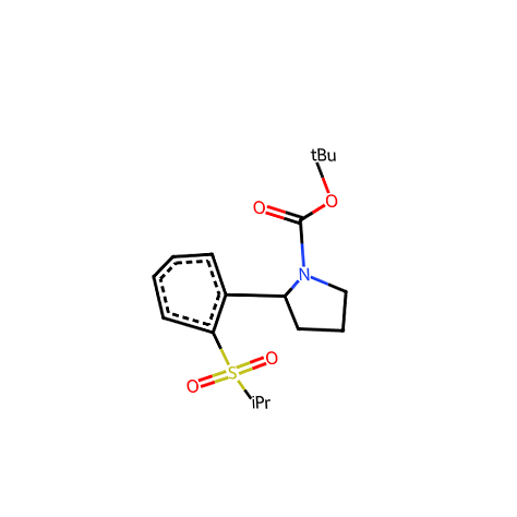 CC(C)S(=O)(=O)c1ccccc1C1CCCN1C(=O)OC(C)(C)C